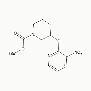 CC(C)(C)OC(=O)N1CCCC(Oc2ncccc2[N+](=O)[O-])C1